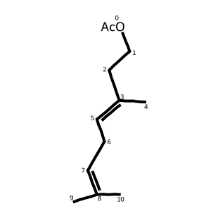 CC(=O)OCC/C(C)=C/CC=C(C)C